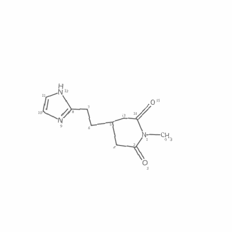 CN1C(=O)CC(CCc2ncc[nH]2)CC1=O